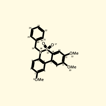 COc1ccc2c(c1)-c1cc(OC)c(OC)cc1S(=O)(=O)N2Cc1ccccc1